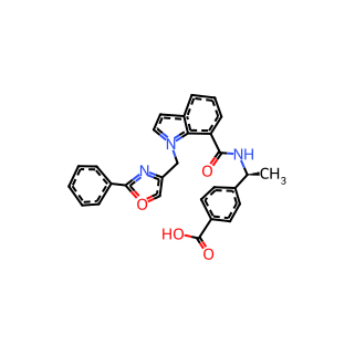 C[C@H](NC(=O)c1cccc2ccn(Cc3coc(-c4ccccc4)n3)c12)c1ccc(C(=O)O)cc1